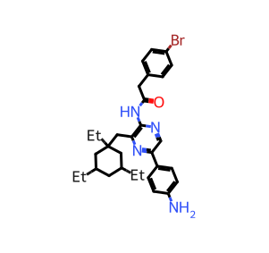 CCC1CC(CC)CC(CC)(Cc2nc(-c3ccc(N)cc3)cnc2NC(=O)Cc2ccc(Br)cc2)C1